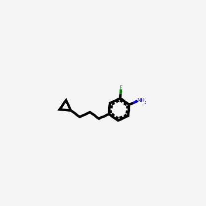 Nc1ccc(CCCC2CC2)cc1F